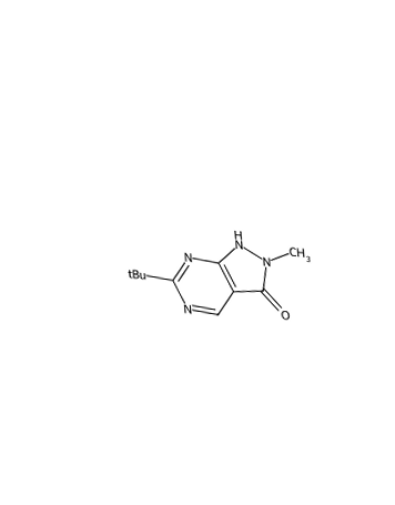 Cn1[nH]c2nc(C(C)(C)C)ncc2c1=O